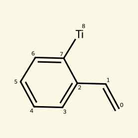 C=Cc1cccc[c]1[Ti]